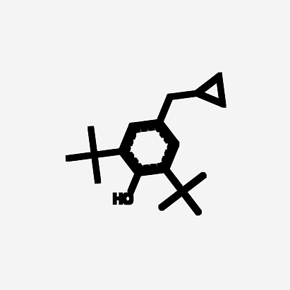 CC(C)(C)c1cc(CC2CC2)cc(C(C)(C)C)c1O